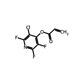 C=CC(=O)Oc1c(F)c(F)nc(F)c1Cl